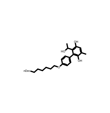 CCCCCCCCCCCCCCCCOc1ccc(-c2c(O)c(C)cc(O)c2C(C)O)cc1